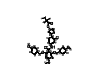 CCC(C)(C)C(=O)On1cc(-c2ccc(NC(=O)c3c(OCc4ccc(OC)cc4)nc(SC)nc3OCc3ccc(OC)cc3)cc2Cl)nn1